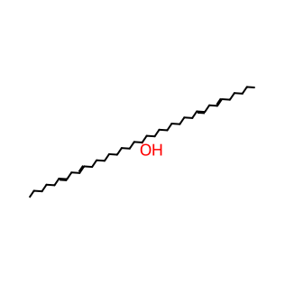 CCCCC/C=C/C/C=C/CCCCCCCCC(O)CCCCCCCC/C=C/C/C=C/CCCCC